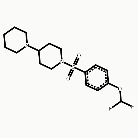 O=S(=O)(c1ccc(OC(F)F)cc1)N1CCC(N2CCCCC2)CC1